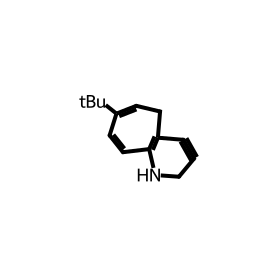 CC(C)(C)C1=CCC2=C(C=C1)NCC#C2